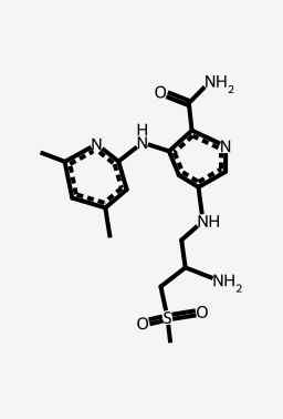 Cc1cc(C)nc(Nc2cc(NCC(N)CS(C)(=O)=O)cnc2C(N)=O)c1